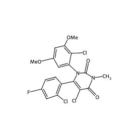 COc1cc(OC)c(Cl)c(-n2c(-c3ccc(F)cc3Cl)c(Cl)c(=O)n(C)c2=O)c1